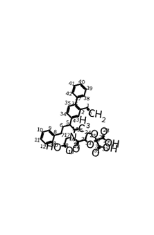 C=Cc1cc(C(CCc2ccccc2)C(C)N(CC(=O)O)C(=O)C2COC(C(=O)O)(C(=O)O)O2)ccc1-c1ccccc1